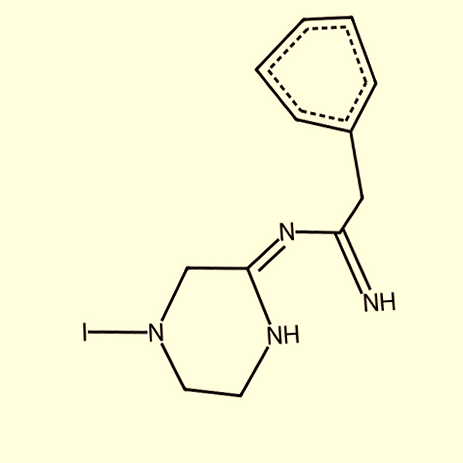 N=C(Cc1ccccc1)/N=C1/CN(I)CCN1